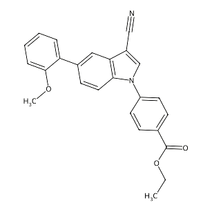 CCOC(=O)c1ccc(-n2cc(C#N)c3cc(-c4ccccc4OC)ccc32)cc1